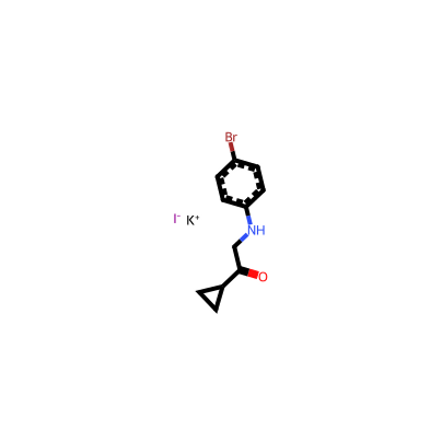 O=C(CNc1ccc(Br)cc1)C1CC1.[I-].[K+]